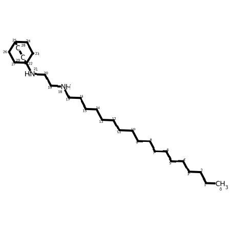 CCCCCCCCCCCCCCCCCCNCCNC12CCC(CC1)CC2